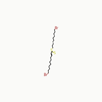 S=C(C=CCCCCCCCCBr)SCCCCCCCCCCBr